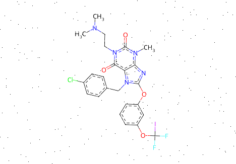 CN(C)CCn1c(=O)c2c(nc(Oc3cccc(OC(F)(F)I)c3)n2Cc2ccc(Cl)cc2)n(C)c1=O